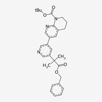 CC(C)(C)OC(=O)N1CCCc2cc(-c3cncc(C(C)(C)C(=O)OCc4ccccc4)c3)cnc21